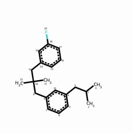 CC(C)Cc1cccc(CC(C)(C)Cc2cccc(F)c2)c1